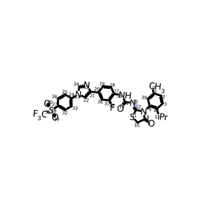 Cc1ccc(C(C)C)c(N2C(=O)CS/C2=N\C(=O)Nc2ccc(-c3cn(-c4ccc(S(=O)(=O)C(F)(F)F)cc4)cn3)cc2F)c1